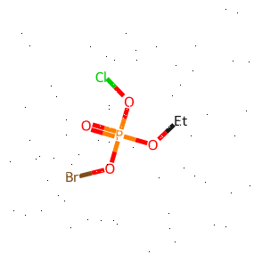 CCOP(=O)(OCl)OBr